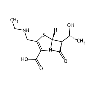 CCNCC1=C(C(=O)O)N2C(=O)[C@H]([C@@H](C)O)[C@H]2S1